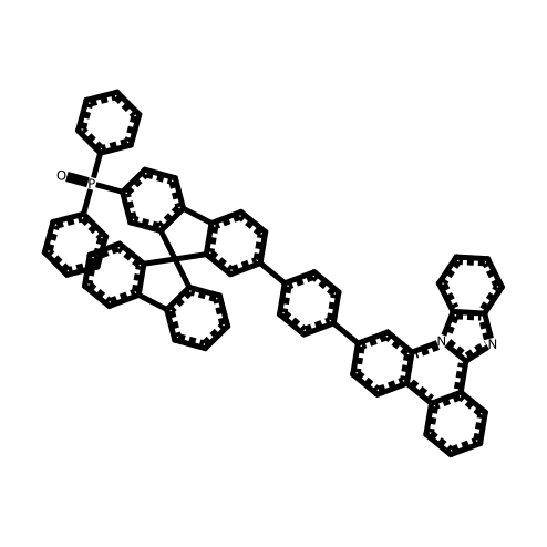 O=P(c1ccccc1)(c1ccccc1)c1ccc2c(c1)C1(c3ccccc3-c3ccccc31)c1cc(-c3ccc(-c4ccc5c6ccccc6c6nc7ccccc7n6c5c4)cc3)ccc1-2